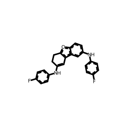 Fc1ccc(NC2=Cc3c(oc4ccc(Nc5ccc(F)cc5)cc34)CC2)cc1